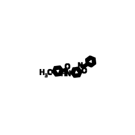 Cc1ccc(C(=O)Nc2ccc3oc(-c4ccccc4)nc3c2)cc1